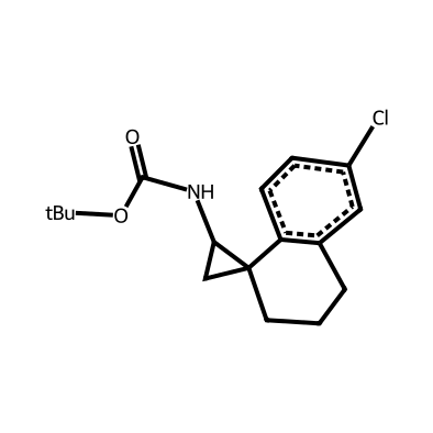 CC(C)(C)OC(=O)NC1CC12CCCc1cc(Cl)ccc12